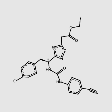 CCOC(=O)Cc1nc([C@H](Cc2ccc(Cl)cc2)NC(=O)Nc2ccc(C#N)cc2)no1